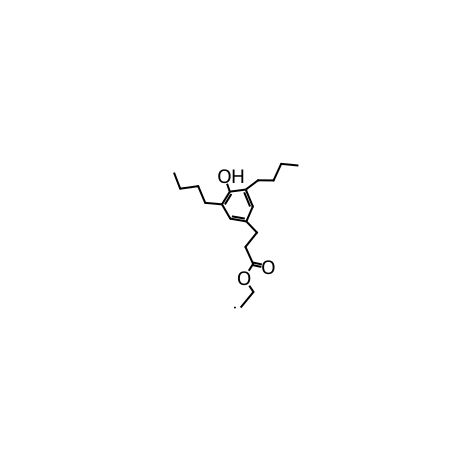 [CH2]COC(=O)CCc1cc(CCCC)c(O)c(CCCC)c1